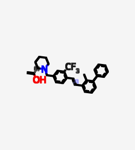 C=C(O)[C@@H]1CCCCN1Cc1ccc(/C=C/c2cccc(-c3ccccc3)c2C)c(C(F)(F)F)c1